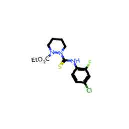 CCOC(=O)N1CCCCN1C(=S)Nc1ccc(Cl)cc1F